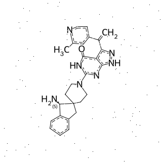 C=C(c1ccnc(C)c1)c1n[nH]c2nc(N3CCC4(CC3)Cc3ccccc3[C@H]4N)[nH]c(=O)c12